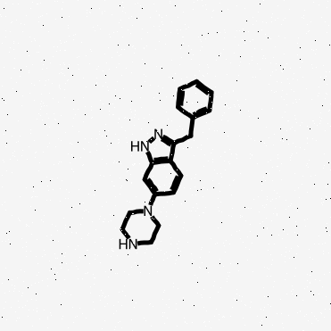 c1ccc(Cc2n[nH]c3cc(N4CCNCC4)ccc23)cc1